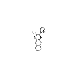 Clc1nc2cc3ccccc3cc2nc1-n1cccn1